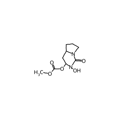 COC(=O)OC1CC2CCCN2C(=O)N1O